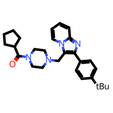 CC(C)(C)c1ccc(-c2nc3ccccn3c2CN2CCN(C(=O)C3CCCC3)CC2)cc1